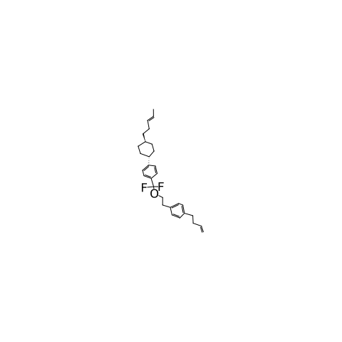 C=CCCc1ccc(CCOC(F)(F)c2ccc([C@H]3CC[C@H](CC/C=C/C)CC3)cc2)cc1